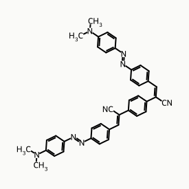 CN(C)c1ccc(N=Nc2ccc(C=C(C#N)c3ccc(C(C#N)=Cc4ccc(N=Nc5ccc(N(C)C)cc5)cc4)cc3)cc2)cc1